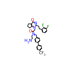 NCCN(Cc1ccc(-c2ccc(C(F)(F)F)cc2)cc1)C(=O)Cn1c(CCc2cccc(F)c2F)nc(=O)c2c1CCC2